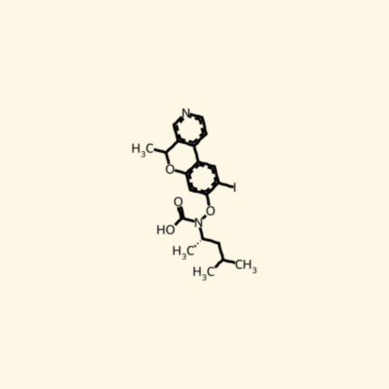 CC(C)C[C@H](C)N(Oc1cc2c(cc1I)-c1ccncc1C(C)O2)C(=O)O